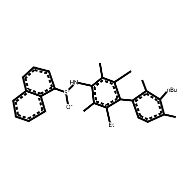 CCCCc1c(C)ccc(-c2c(C)c(C)c(N[S+]([O-])c3cccc4ccccc34)c(C)c2CC)c1C